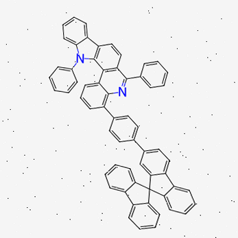 c1ccc(-c2nc3c(-c4ccc(-c5ccc6c(c5)C5(c7ccccc7-c7ccccc75)c5ccccc5-6)cc4)cccc3c3c2ccc2c4ccccc4n(-c4ccccc4)c23)cc1